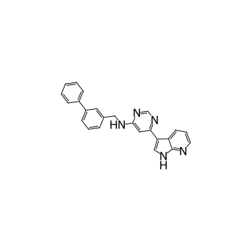 c1ccc(-c2cccc(CNc3cc(-c4c[nH]c5ncccc45)ncn3)c2)cc1